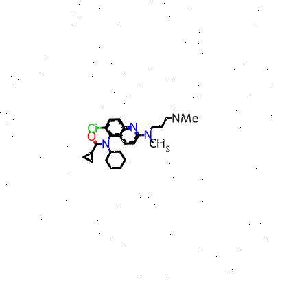 CNCCCN(C)c1ccc2c(N(C(=O)C3CC3)C3CCCCC3)c(Cl)ccc2n1